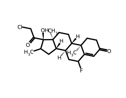 CC1C[C@H]2[C@@H]3CC(F)C4=CC(=O)CC[C@]4(C)[C@H]3CC[C@]2(C)[C@@]1(O)C(=O)CCl